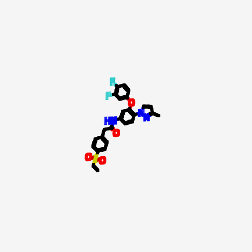 CCS(=O)(=O)c1ccc(CC(=O)Nc2ccc(-n3ccc(C)n3)c(Oc3ccc(F)c(F)c3)c2)cc1